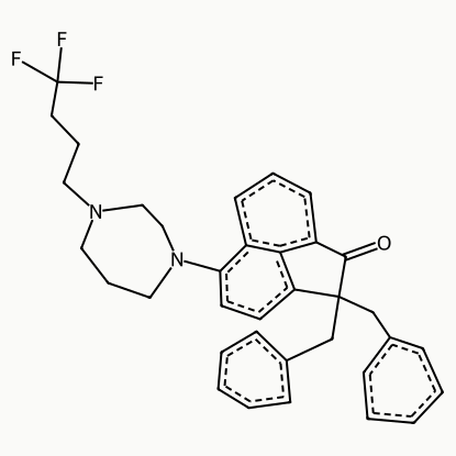 O=C1c2cccc3c(N4CCCN(CCCC(F)(F)F)CC4)ccc(c23)C1(Cc1ccccc1)Cc1ccccc1